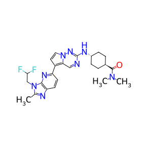 Cc1nc2ccc(-c3ccn4nc(N[C@H]5CC[C@H](C(=O)N(C)C)CC5)ncc34)nc2n1CC(F)F